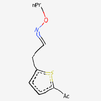 CCCON=CCc1ccc(C(C)=O)s1